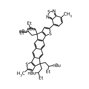 CCCCC(CC)CC1(CC(CC)CCCC)c2cc3cc4c(cc3cc2-c2sc(C)cc21)C(CC(CC)CCCC)(CC(CC)CCCC)c1cc(-c2ccc(C)c3nsnc23)sc1-4